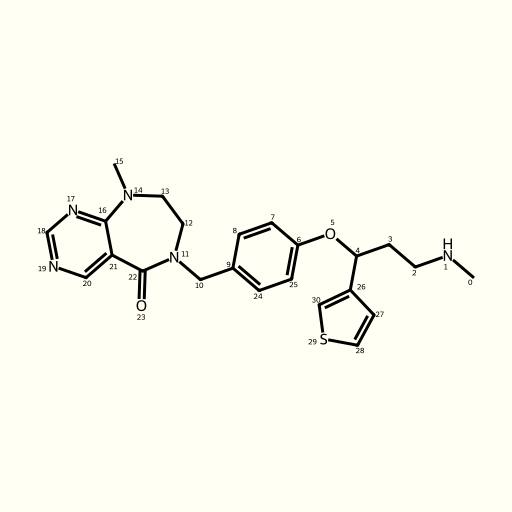 CNCCC(Oc1ccc(CN2CCN(C)c3ncncc3C2=O)cc1)c1ccsc1